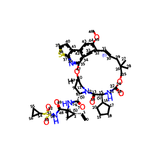 C=C[C@@H]1C[C@]1(NC(=O)[C@@H]1C[C@@H]2CN1C(=O)[C@H](C1CCCC1)NC(=O)OCC(C)(C)C/C=C/c1cc3c(nc4sccc4c3cc1OC)O2)C(=O)NS(=O)(=O)C1CC1